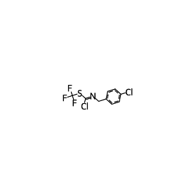 FC(F)(F)SC(Cl)=NCc1ccc(Cl)cc1